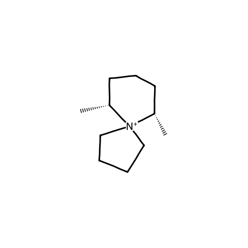 C[C@@H]1CCC[C@H](C)[N+]12CCCC2